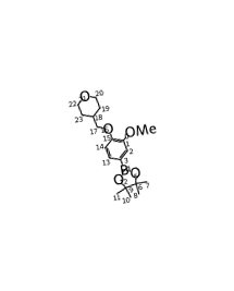 COc1cc(B2OC(C)(C)C(C)(C)O2)ccc1OCC1CCOCC1